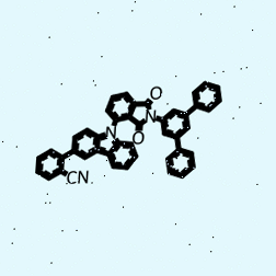 N#Cc1ccccc1-c1ccc2c(c1)c1ccccc1n2-c1cccc2c1C(=O)N(c1cc(-c3ccccc3)cc(-c3ccccc3)c1)C2=O